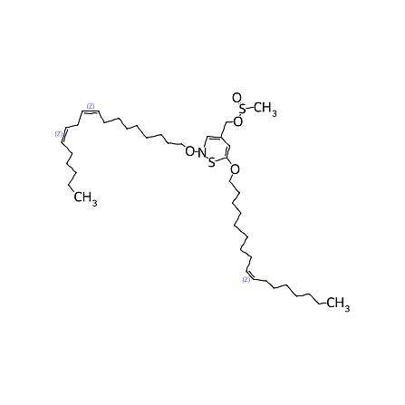 CCCCC/C=C\C/C=C\CCCCCCCCON1C=C(COS(C)=O)C=C(OCCCCCCCC/C=C\CCCCCCC)S1